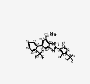 Cc1c(C(C)(C)C)nn(C)c1-c1nc2cc(-c3ccccc3C(F)(F)F)cc(Cl)c2[nH]1.[Na]